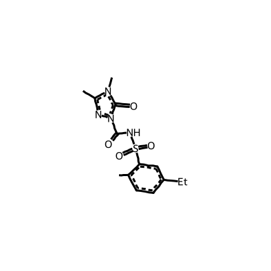 CCc1ccc(C)c(S(=O)(=O)NC(=O)n2nc(C)n(C)c2=O)c1